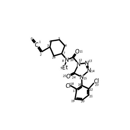 C=C=CC1CCCC(N(CC)C(=O)n2nnn(-c3c(Cl)cccc3Cl)c2=O)C1